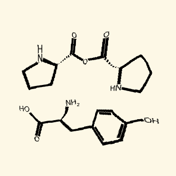 N[C@@H](Cc1ccc(O)cc1)C(=O)O.O=C(OC(=O)[C@@H]1CCCN1)[C@@H]1CCCN1